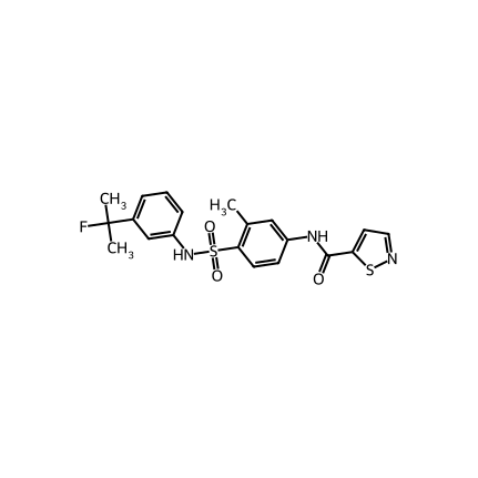 Cc1cc(NC(=O)c2ccns2)ccc1S(=O)(=O)Nc1cccc(C(C)(C)F)c1